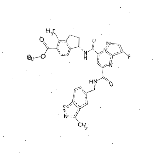 Cc1c(C(=O)OC(C)(C)C)ccc2c1CC[C@@H]2NC(=O)c1cc(C(=O)NCc2ccc3snc(C)c3c2)nc2c(F)cnn12